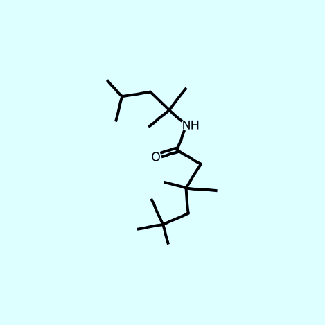 CC(C)CC(C)(C)NC(=O)CC(C)(C)CC(C)(C)C